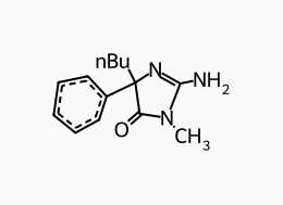 CCCCC1(c2ccccc2)N=C(N)N(C)C1=O